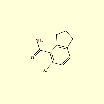 Cc1ccc2c(c1C(N)=O)CCC2